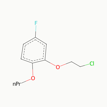 CCCOc1ccc(F)cc1OCCCl